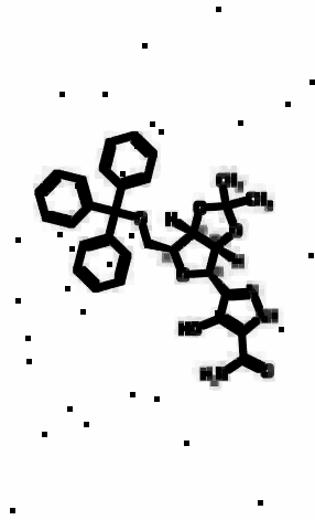 CC1(C)O[C@@H]2[C@H](O1)[C@@H](c1n[nH]c(C(N)=O)c1O)O[C@H]2COC(c1ccccc1)(c1ccccc1)c1ccccc1